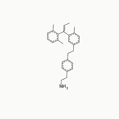 C/C=C(\c1cc(CCc2ccc(CCN)cc2)ccc1C)c1c(C)cccc1C